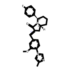 COc1cc(/C=C2\C[C@H]3CCC[C@H](c4ccc(F)cc4)N3C2=O)ccc1-n1cnc(C)c1